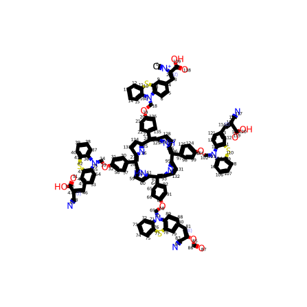 [C-]#[N+]/C(=C\c1ccc2c(c1)Sc1ccccc1N2COc1ccc(-c2c3nc(c(-c4ccc(OCN5c6ccccc6Sc6cc(/C=C(/C#N)C(=O)O)ccc65)cc4)c4ccc([nH]4)c(-c4ccc(OCN5c6ccccc6Sc6cc(/C=C(\C#N)OC=O)ccc65)cc4)c4nc(c(-c5ccc(OCN6c7ccccc7Sc7cc(/C=C(/C#N)C(=O)O)ccc76)cc5)c5ccc2[nH]5)C=C4)C=C3)cc1)C(=O)O